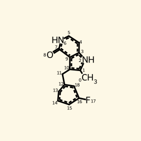 Cc1[nH]c2cc[nH]c(=O)c2c1Cc1cccc(F)c1